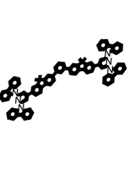 CC1(C)c2cc(-c3cccc(-c4ccc5c(c4)C(C)(C)c4cc(-c6cc(-n7c8ccccc8c8ccccc87)nc(-n7c8ccccc8c8ccccc87)c6)ccc4-5)c3)ccc2-c2ccc(-c3cc(-n4c5ccccc5c5ccccc54)nc(-n4c5ccccc5c5ccccc54)c3)cc21